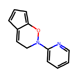 C1=CC2=CCN(c3ccccn3)OC2=C1